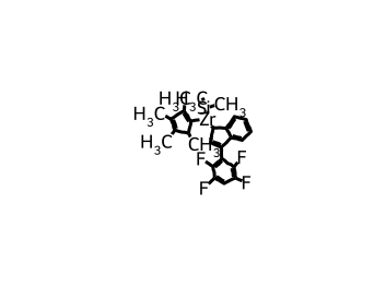 CC1=C(C)C(C)[C]([Zr]([CH]2C=C(c3c(F)c(F)cc(F)c3F)c3ccccc32)=[Si](C)C)=C1C